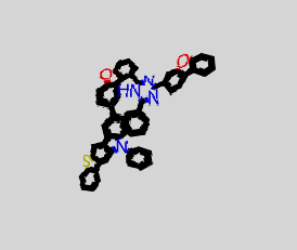 c1ccc(C2N=C(c3ccc4c(c3)oc3ccccc34)N=C(c3cccc4oc5ccc(-c6ccc7c(c6)c6cc8sc9ccccc9c8cc6n7-c6ccccc6)cc5c34)N2)cc1